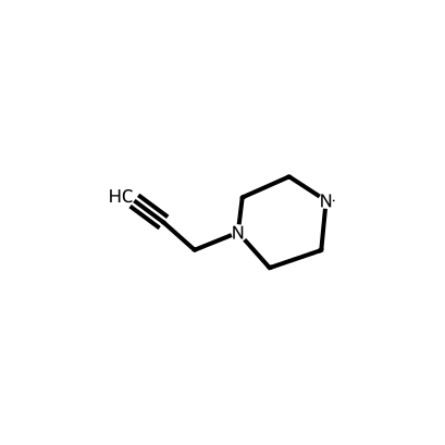 C#CCN1CC[N]CC1